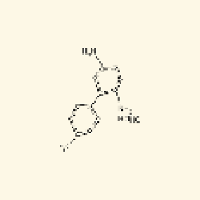 Cl.Cl.Nc1ccc(N)c(-c2ccc(C(F)(F)F)cc2)c1